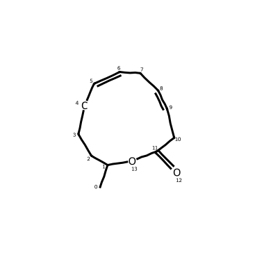 CC1CCCC=CCC=CCC(=O)O1